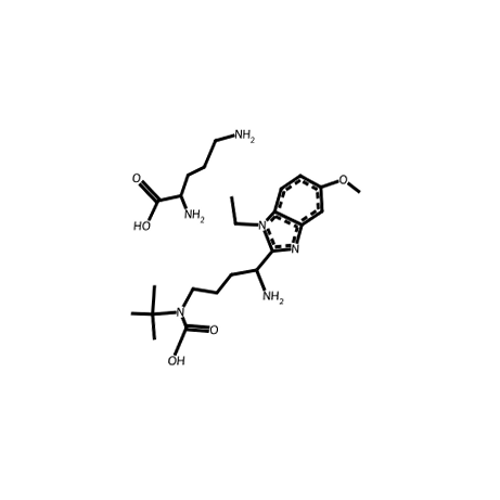 CCn1c(C(N)CCCN(C(=O)O)C(C)(C)C)nc2cc(OC)ccc21.NCCCC(N)C(=O)O